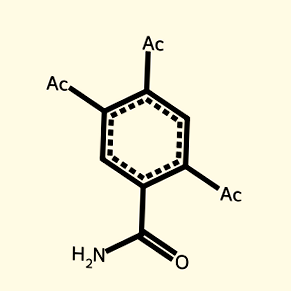 CC(=O)c1cc(C(C)=O)c(C(N)=O)cc1C(C)=O